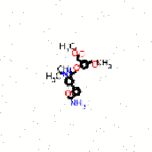 CCOC(=O)Cc1cc(COC)ccc1OCc1nn(C(C)C)c2ccc(-c3cccc4c3OCC4N)cc12